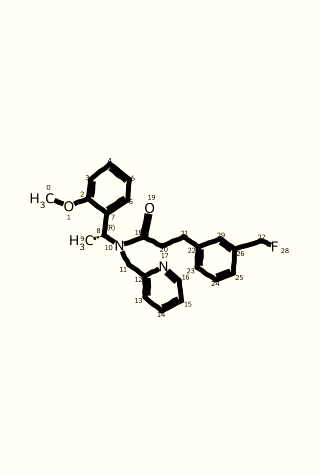 COc1ccccc1[C@@H](C)N(Cc1ccccn1)C(=O)CCc1cccc(CF)c1